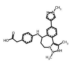 CC1=C2c3ccc(-c4cnn(C)c4)cc3C(Nc3ccc(CC(=O)O)cc3)CCN2N(C)N1